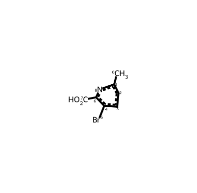 Cc1ccc(Br)c(C(=O)O)n1